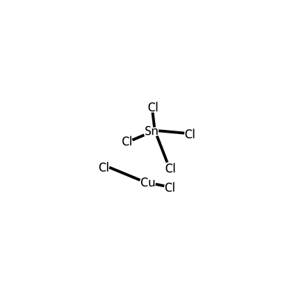 [Cl][Cu][Cl].[Cl][Sn]([Cl])([Cl])[Cl]